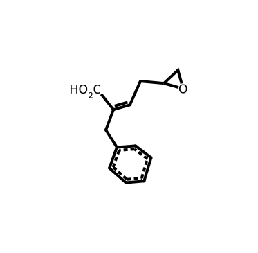 O=C(O)C(=CCC1CO1)Cc1ccccc1